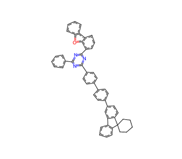 c1ccc(-c2nc(-c3ccc(-c4ccc(-c5ccc6c(c5)-c5ccccc5C65CCCCC5)cc4)cc3)nc(-c3cccc4c3oc3ccccc34)n2)cc1